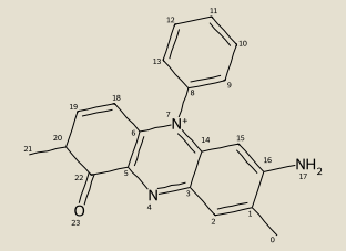 Cc1cc2nc3c([n+](-c4ccccc4)c2cc1N)C=CC(C)C3=O